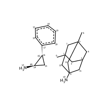 CC12CC3CC(C)(C1)CC(N)(C3)C2.N[C@@H]1C[C@H]1c1ccccc1